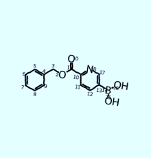 O=C(OCc1ccccc1)c1ccc(B(O)O)cn1